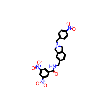 O=C(NCc1ccc2c(c1)CN(Cc1ccc([N+](=O)[O-])cc1)C2)c1cc([N+](=O)[O-])cc([N+](=O)[O-])c1